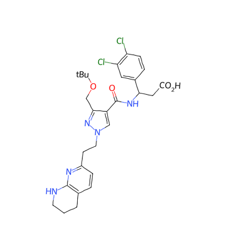 CC(C)(C)OCc1nn(CCc2ccc3c(n2)NCCC3)cc1C(=O)NC(CC(=O)O)c1ccc(Cl)c(Cl)c1